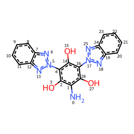 Nc1c(O)c(-n2nc3ccccc3n2)c(O)c(-n2nc3ccccc3n2)c1O